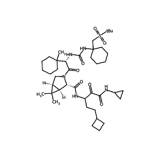 CC1([C@H](NC(=O)NC2(CS(=O)(=O)C(C)(C)C)CCCCC2)C(=O)N2C[C@H]3[C@@H]([C@H]2C(=O)NC(CCC2CCC2)C(=O)C(=O)NC2CC2)C3(C)C)CCCCC1